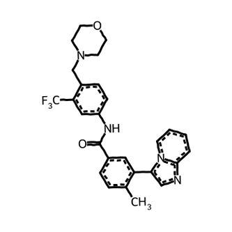 Cc1ccc(C(=O)Nc2ccc(CN3CCOCC3)c(C(F)(F)F)c2)cc1-c1cnc2ccccn12